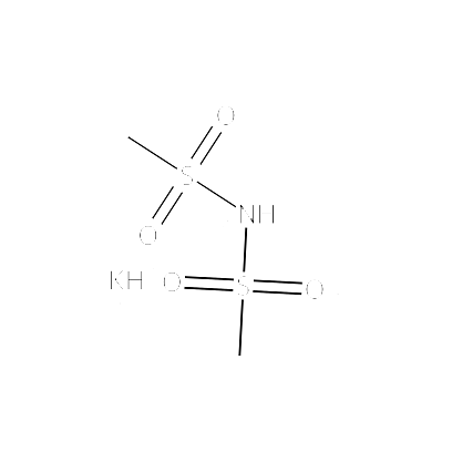 CS(=O)(=O)NS(C)(=O)=O.[KH]